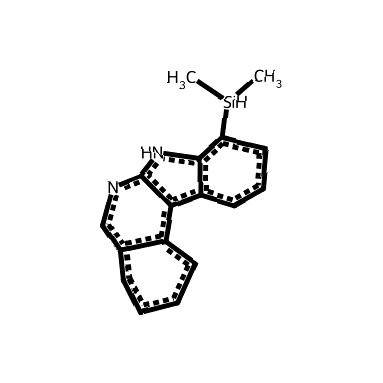 C[SiH](C)c1cccc2c1[nH]c1ncc3ccccc3c12